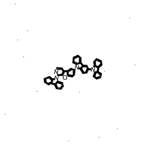 c1ccc2c(c1)c1ccccc1n2-c1ccc2c(c1)c1ccccc1n2-c1ccc2oc3c(-n4c5ccccc5c5ccccc54)nccc3c2c1